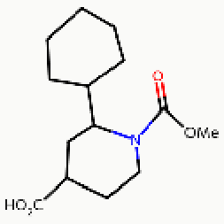 COC(=O)N1CCC(C(=O)O)CC1C1CCCCC1